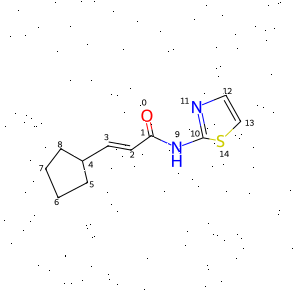 O=C(C=CC1CCCC1)Nc1nccs1